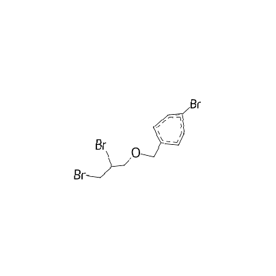 BrCC(Br)COCc1ccc(Br)cc1